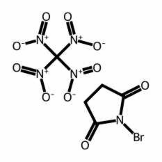 O=C1CCC(=O)N1Br.O=[N+]([O-])C([N+](=O)[O-])([N+](=O)[O-])[N+](=O)[O-]